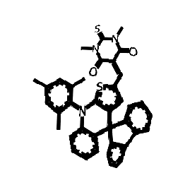 Cc1cc(C)c(N2c3ccccc3C3(c4ccccc4-c4ccccc43)c3cc(C=C4C(=O)N(C)C(=S)N(C)C4=O)sc32)c(C)c1